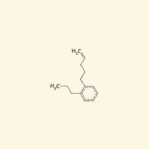 C=CCCCc1ccccc1CCC